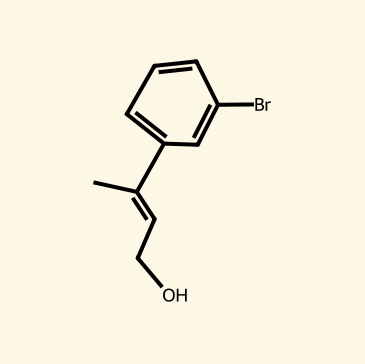 CC(=CCO)c1cccc(Br)c1